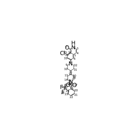 O=c1[nH]ccc2cc(N3CCC(C4CCN(S(=O)(=O)c5ccccc5C(F)(F)F)CC4)CC3)cc(Cl)c12